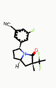 CC(F)(F)[C@]1(C)C[C@H]2CC[C@@H](c3cc(F)cc(C#N)c3)N2C1=O